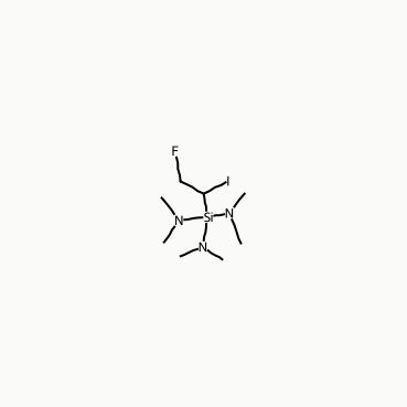 CN(C)[Si](C(I)CF)(N(C)C)N(C)C